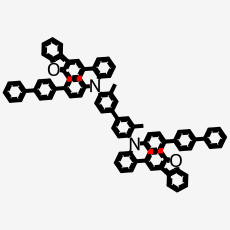 Cc1cc(-c2ccc(N(c3ccc(-c4ccc(-c5ccccc5)cc4)cc3)c3ccccc3-c3ccc4oc5ccccc5c4c3)c(C)c2)ccc1N(c1ccc(-c2ccc(-c3ccccc3)cc2)cc1)c1ccccc1-c1ccc2oc3ccccc3c2c1